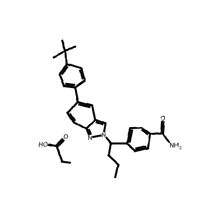 CCC(=O)O.CCCC(c1ccc(C(N)=O)cc1)n1cc2cc(-c3ccc(C(C)(C)C)cc3)ccc2n1